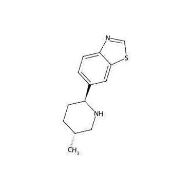 C[C@@H]1CC[C@@H](c2ccc3ncsc3c2)NC1